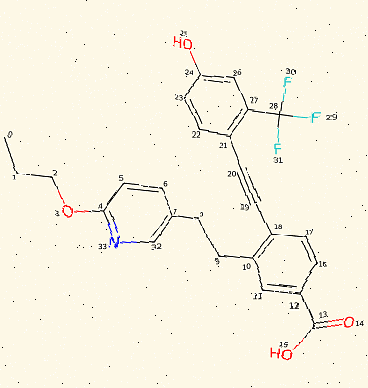 CCCOc1ccc(CCc2cc(C(=O)O)ccc2C#Cc2ccc(O)cc2C(F)(F)F)cn1